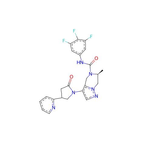 C[C@H]1Cn2ncc(N3CC(c4ccccn4)CC3=O)c2CN1C(=O)Nc1cc(F)c(F)c(F)c1